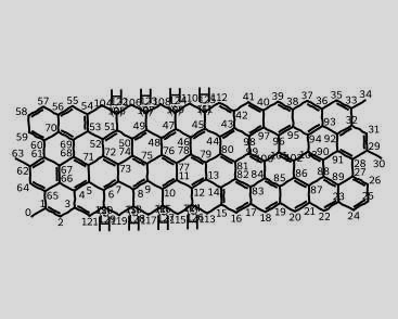 Cc1cc2c3c4c5c6c7c8c9c%10c%11c%12c%13c(cc%14cc%15cc%16cc%17cccc%18c%19c(C)cc%20c(C)cc%21cc%22cc%23cc%24c%25c%26c%27c%28c%29c%30c%31c%32c%33c%34c%35c(cc%36cccc%37c%38c(C)cc1c3c%38c(c%35c%36%37)c4c%34c6c%32c8c%30c%10c%28c%12c%26c1c%13c%14c3c%15c4c%16c(c%17%18)c6c%19c%20c%21c8c%22c%10c%23c%25c1c3c%10c4c86)C[C@H]%33C[C@H]%31C[C@H]%29C[C@H]%27C=%24)C[C@H]%11C[C@H]9C[C@H]7C[C@H]5C=2